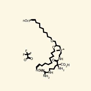 CCCCCCCC/C=C\CCCCCCCCOCC(C[N+](C)(C)CCNC(=O)[C@](N)(CCCNC(=N)N)C(=O)O)OCCCCCCCC/C=C\CCCCCCCC.O=C([O-])C(F)(F)F